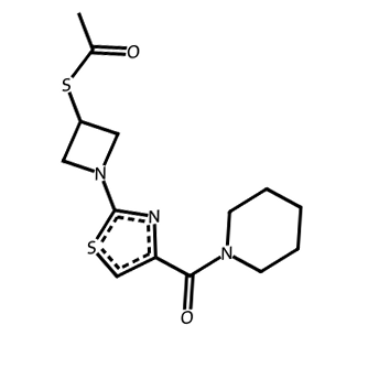 CC(=O)SC1CN(c2nc(C(=O)N3CCCCC3)cs2)C1